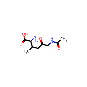 CC(=O)NCC(=O)CC(C)[C@H](N)C(=O)O